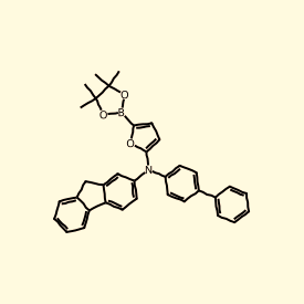 CC1(C)OB(c2ccc(N(c3ccc(-c4ccccc4)cc3)c3ccc4c(c3)Cc3ccccc3-4)o2)OC1(C)C